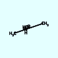 CCCCCCCCCCCCCCCCC(CCNC(=O)CCCCCCCCCCC)C(=O)O